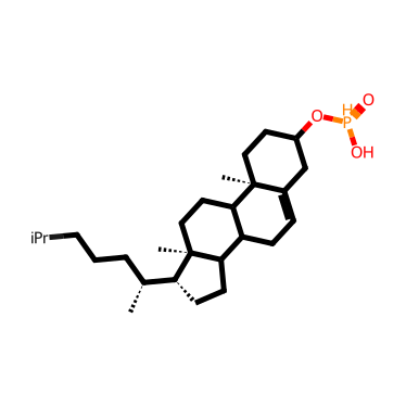 CC(C)CCC[C@@H](C)[C@H]1CCC2C3CC=C4CC(O[PH](=O)O)CC[C@]4(C)C3CC[C@@]21C